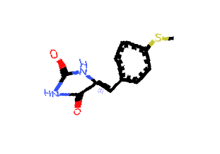 CSc1ccc(/C=C2\NC(=O)NC2=O)cc1